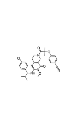 COn1c(NC(c2ccc(Cl)cc2)C(C)C)nc2c(c1=O)CN(C(=O)C(C)(C)Oc1ccc(C#N)cc1)CC2